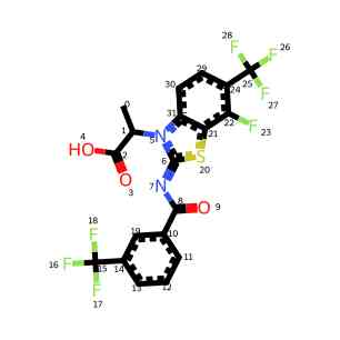 CC(C(=O)O)n1c(=NC(=O)c2cccc(C(F)(F)F)c2)sc2c(F)c(C(F)(F)F)ccc21